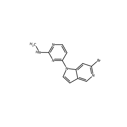 CNc1nccc(-n2ccc3cnc(Br)cc32)n1